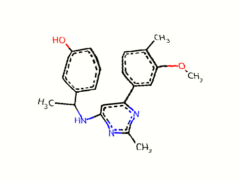 COc1cc(-c2cc(NC(C)c3cccc(O)c3)nc(C)n2)ccc1C